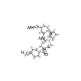 COc1ccc2c(c1)NC1(CCCN(C(=O)c3ccc(C)cc3)CC1)c1cccn1-2